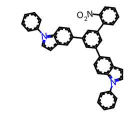 O=[N+]([O-])c1ccccc1-c1cc(-c2ccc3c(ccn3-c3ccccc3)c2)cc(-c2ccc3c(ccn3-c3ccccc3)c2)c1